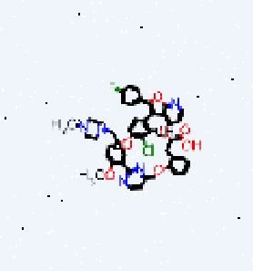 COc1ccccc1-c1nccc(COc2ccccc2CC(Oc2ccnc3oc(-c4ccc(F)cc4)c(-c4ccc(OCCN5CCN(C)CC5)c(Cl)c4C)c23)C(=O)O)n1